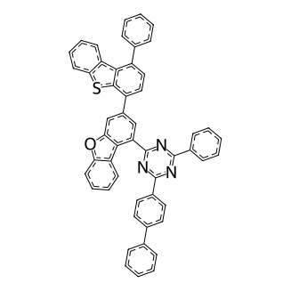 c1ccc(-c2ccc(-c3nc(-c4ccccc4)nc(-c4cc(-c5ccc(-c6ccccc6)c6c5sc5ccccc56)cc5oc6ccccc6c45)n3)cc2)cc1